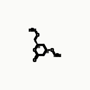 CCCCOC[C@@H]1C[C@H](OCCCC)CC(=O)O1